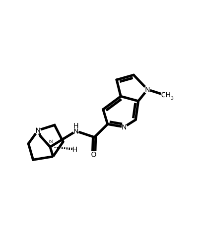 Cn1ccc2cc(C(=O)N[C@@H]3CN4CCC3CC4)ncc21